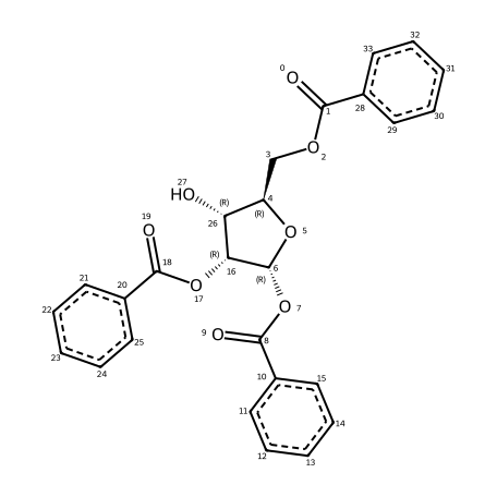 O=C(OC[C@H]1O[C@H](OC(=O)c2ccccc2)[C@H](OC(=O)c2ccccc2)[C@@H]1O)c1ccccc1